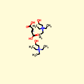 CC[N+](CC)(CC)CCO.CC[N+](CC)(CC)CCO.O=C(O)/C=C/C(=O)O